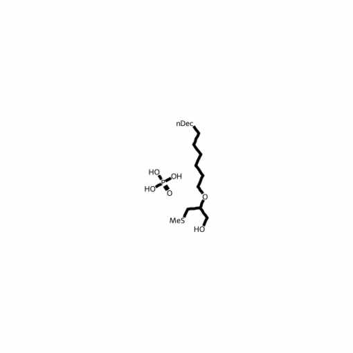 CCCCCCCCCCCCCCCCOC(CO)CSC.O=P(O)(O)O